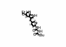 CCOc1cnc2[nH]cc(Cc3ccc(NC(=O)NC(=O)C(C)(C)C)nc3)c2c1